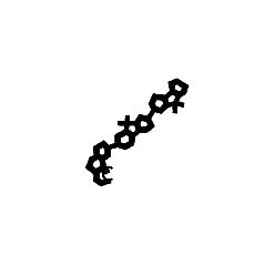 CC1(C)c2ccccc2-c2ccc(-c3ccc4c(c3)C(C)(C)c3cc(-c5ccc6ccc7ccccc7c6c5)ccc3-4)cc21